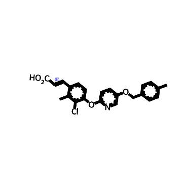 Cc1ccc(COc2ccc(Oc3ccc(/C=C/C(=O)O)c(C)c3Cl)nc2)cc1